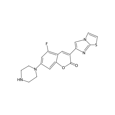 O=c1oc2cc(N3CCNCC3)cc(F)c2cc1-c1cn2ccsc2n1